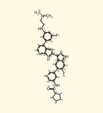 CN(C)CCNc1cc(F)cc(-c2ccnc3[nH]c(-c4n[nH]c5cc(F)c(-c6cncc(NC(=O)C7CCCC7)c6)cc45)nc23)c1